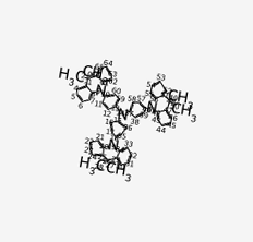 CC1(C)c2ccccc2N(c2ccc(N(c3ccc(N4c5ccccc5C(C)(C)c5ccccc54)cc3)c3ccc(N4c5ccccc5C(C)(C)c5ccccc54)cc3)cc2)c2ccccc21